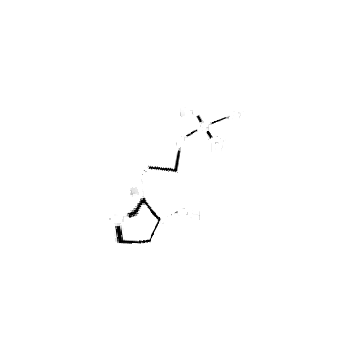 CC(C)[Si](OCC[C@H]1OCC[C@H]1O)(C(C)C)C(C)C